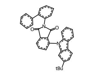 CC(C)(C)c1ccc2c3ccccc3n(-c3cccc4c3C(=O)N(c3ccccc3-c3ccccc3)C4=O)c2c1